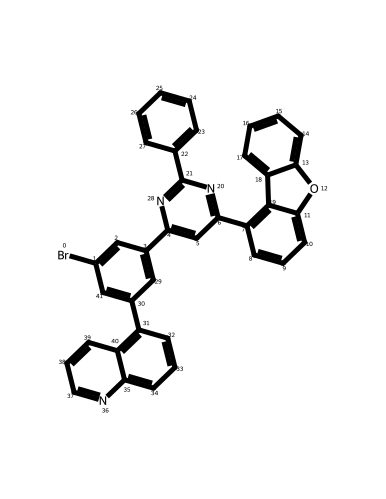 Brc1cc(-c2cc(-c3cccc4oc5ccccc5c34)nc(-c3ccccc3)n2)cc(-c2cccc3ncccc23)c1